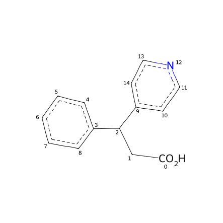 O=C(O)CC(c1ccccc1)c1ccncc1